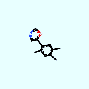 Cc1cc(C)c(-c2cnco2)cc1C